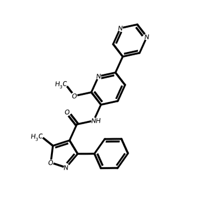 COc1nc(-c2cncnc2)ccc1NC(=O)c1c(-c2ccccc2)noc1C